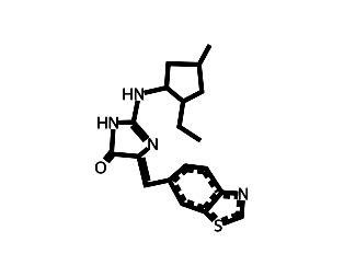 CCC1CC(C)CC1NC1=N/C(=C\c2ccc3ncsc3c2)C(=O)N1